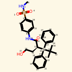 CNS(=O)(=O)c1ccc(NC(=O)[C@H](CCO)[Si](c2ccccc2)(c2ccccc2)C(C)(C)C)cc1